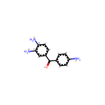 Nc1ccc(C(=O)c2ccc(N)c(N)c2)cc1